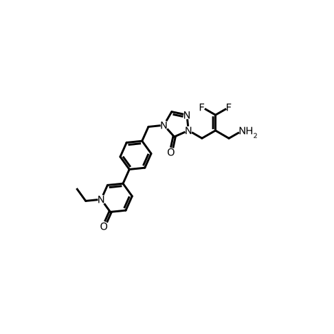 CCn1cc(-c2ccc(Cn3cnn(CC(CN)=C(F)F)c3=O)cc2)ccc1=O